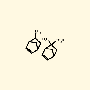 CC1(C(=O)O)CC2C=CC1C2.CC1CC2C=CC1C2